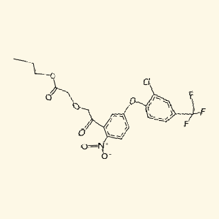 CCCOC(=O)COCC(=O)c1cc(Oc2ccc(C(F)(F)F)cc2Cl)ccc1[N+](=O)[O-]